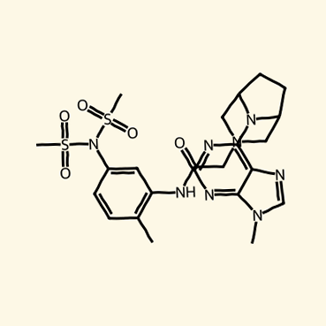 Cc1ccc(N(S(C)(=O)=O)S(C)(=O)=O)cc1NC(=O)CN1CC2CCC(C1)N2c1ncnc2c1ncn2C